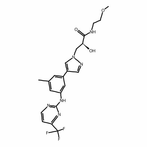 COCCNC(=O)[C@@H](O)Cn1cc(-c2cc(C)cc(Nc3nccc(C(F)(F)F)n3)c2)cn1